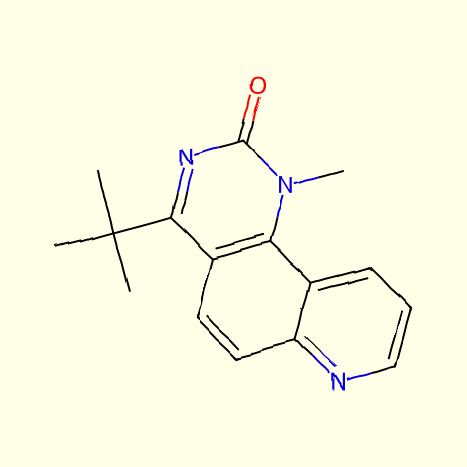 Cn1c(=O)nc(C(C)(C)C)c2ccc3ncccc3c21